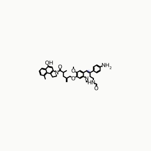 C=Nc1cc(OCC(=C)CC(C)C(=O)N2CCc3c2cc(O)c2cccc(C)c32)c(OC)cc1/C=C(\CCNC=O)c1ccc(N)cc1